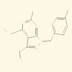 COc1nc(C)nc2c1c(CO)nn2[C@@H](C)c1ccc(C)cc1